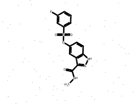 CNC(=O)c1n[nH]c2ccc(OS(=O)(=O)c3cccc(F)c3)cc12